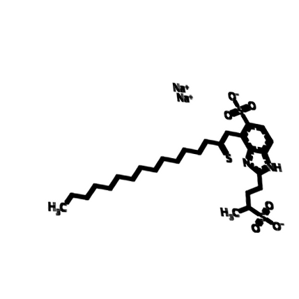 CCCCCCCCCCCCCCC(=S)Cc1c(S(=O)(=O)[O-])ccc2[nH]c(CCC(C)S(=O)(=O)[O-])nc12.[Na+].[Na+]